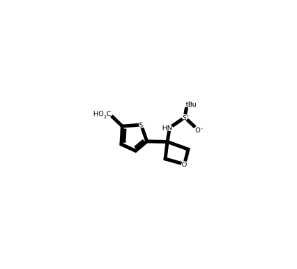 CC(C)(C)[S+]([O-])NC1(c2ccc(C(=O)O)s2)COC1